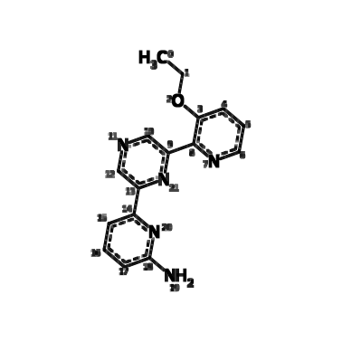 CCOc1cccnc1-c1cncc(-c2cccc(N)n2)n1